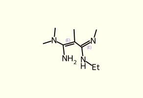 CCNC(=N/C)/C(C)=C(\N)N(C)C